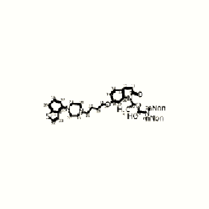 CCCCCCCCCN(CCCCCCCCC)C(O)OC(C)n1c(=O)ccc2ccc(OCCCCN3CCN(c4cccc5sccc45)CC3)cc21